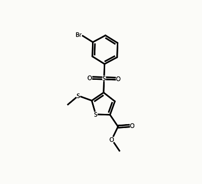 COC(=O)c1cc(S(=O)(=O)c2cccc(Br)c2)c(SC)s1